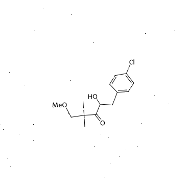 COCC(C)(C)C(=O)C(O)Cc1ccc(Cl)cc1